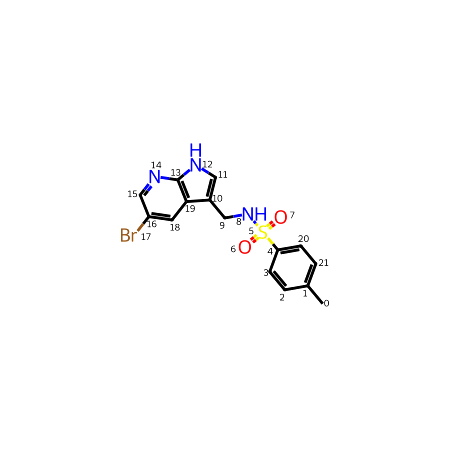 Cc1ccc(S(=O)(=O)NCc2c[nH]c3ncc(Br)cc23)cc1